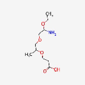 CCOC(N)COCC(C)OCCC(=O)O